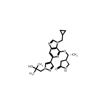 C[C@@H](Oc1nc(-c2cnn(CC(C)(C)O)c2)cc2ncn(CC3CC3)c12)[C@H]1CNC(=O)C1